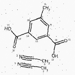 CC#N.CC#N.Cc1cc(C(=O)O)cc(C(=O)O)c1